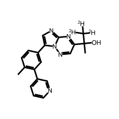 [2H]C([2H])([2H])C(C)(O)c1cnn2c(-c3ccc(C)c(-c4cccnc4)c3)cnc2n1